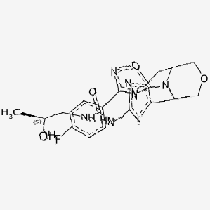 C[C@H](O)CNC(=O)Nc1nc2c(s1)C1COCC(C2)N1c1nc(-c2ccc(F)cc2)no1